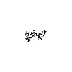 CC[Si](CC)(CC)O[C@H](CCS(=N)(=O)CC[C@H](NC(=O)OC(C)(C)C)C(=O)OC)C(F)(F)F